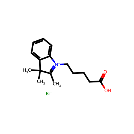 CC1=[N+](CCCCC(=O)O)c2ccccc2C1(C)C.[Br-]